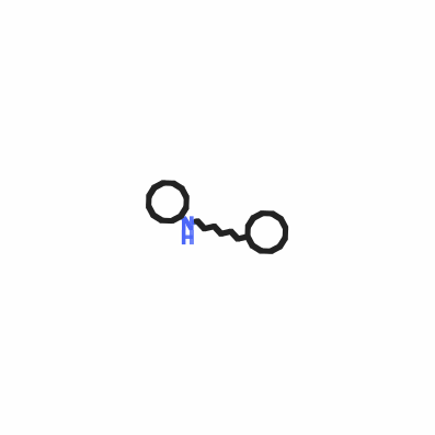 C1CCCCCC(CCCCCCNC2CCCCCCCCCCC2)CCCCC1